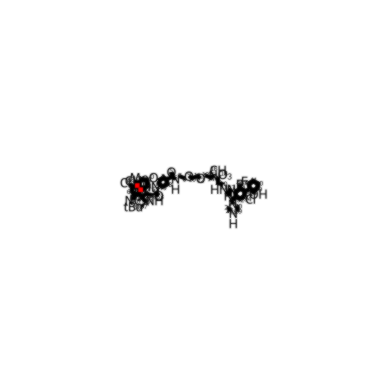 COc1cc(C(=O)NCCOCCOCCN(C)C(=O)CCNc2nc(N3CCNCC3)c3cc(Cl)c(-c4c(O)cccc4F)c(F)c3n2)ccc1NC(=O)[C@@H]1N[C@@H](CC(C)(C)C)[C@](C#N)(c2ccc(Cl)cc2F)[C@H]1c1cccc(Cl)c1F